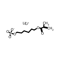 C=C(C)C(=O)OCCCCCCOP(=O)([O-])[O-].[Li+].[Li+]